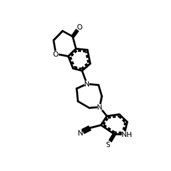 N#Cc1c(N2CCCN(c3ccc4c(c3)OCCC4=O)CC2)cc[nH]c1=S